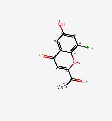 COC(=O)c1cc(=O)c2cc(O)cc(F)c2o1